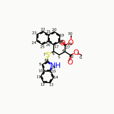 COC(=O)C(CC(Sc1cc2ccccc2[nH]1)c1cccc2ccccc12)C(=O)OC